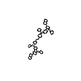 C(=C\c1ccc(N(c2ccccc2)c2ccc3c(c2)c2cc(-c4ccc5ccccc5c4)ccc2n3-c2ccccc2)cc1)/c1ccc(N(c2ccccc2)c2ccc3c(c2)c2cc(-c4ccc5ccccc5c4)ccc2n3-c2ccccc2)cc1